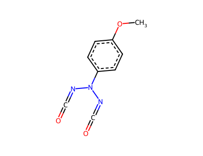 COc1ccc(N(N=C=O)N=C=O)cc1